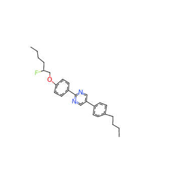 CCCCc1ccc(-c2cnc(-c3ccc(OCC(F)CCCC)cc3)nc2)cc1